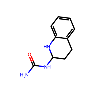 NC(=O)NC1CCc2ccccc2N1